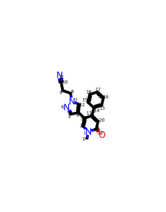 Cn1cc(-c2cnn(CCC#N)c2)c(-c2ccccc2)cc1=O